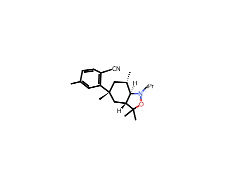 Cc1ccc(C#N)c([C@@]2(C)C[C@@H]3[C@@H]([C@@H](C)C2)N(C(C)C)OC3(C)C)c1